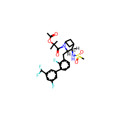 CC(=O)OC(C)(C)C(=O)N1C2CC(C2)[C@H](NS(C)(=O)=O)[C@@H]1Cc1cccc(-c2cc(F)cc(C(F)F)c2)c1F